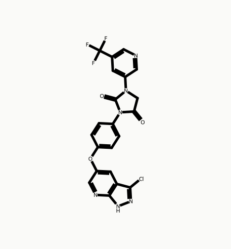 O=C1CN(c2cncc(C(F)(F)F)c2)C(=O)N1c1ccc(Oc2cnc3[nH]nc(Cl)c3c2)cc1